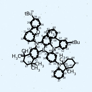 Cc1cc2c3c(c1)N(c1cccc4c1oc1ccc(C(C)(C)C)cc14)c1cc4c(cc1B3c1ccc(N3c5ccccc5C5(C)CCCCC35C)cc1N2c1ccc(C(C)(C)C)cc1-c1ccccc1)C(C)(C)CCC4(C)C